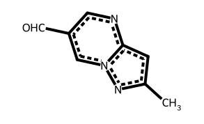 Cc1cc2ncc(C=O)cn2n1